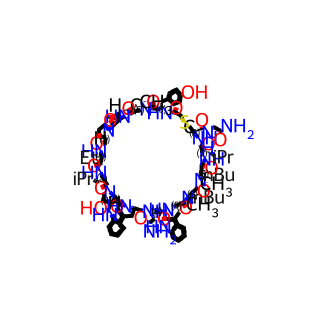 CCCC[C@H]1C(=O)N(C)[C@@H](CCCC)C(=O)N[C@@H](CC(C)C)C(=O)N[C@H](C(=O)NCC(N)=O)CSCC(=O)N[C@@H](Cc2ccc(O)cc2)C(=O)N(C)[C@@H](C)C(=O)NC2(CC2)C(=O)N2CCC[C@H]2C(=O)N[C@@H](CC)C(=O)N[C@@H](CC(C)C)C(=O)N2C[C@H](O)C[C@H]2C(=O)NC(Cc2c[nH]c3ccccc23)C(=O)N[C@@H](CCN)C(=O)N[C@@H](Cc2c[nH]c3ccccc23)C(=O)N1C